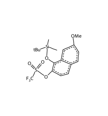 COc1ccc2ccc(OS(=O)(=O)C(F)(F)F)c(O[Si](C)(C)C(C)(C)C)c2c1